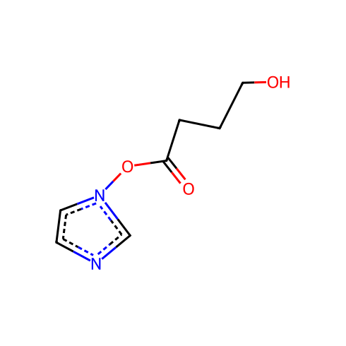 O=C(CCCO)On1ccnc1